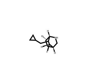 F[C@@H]1[C@@H](CC2CC2)[C@@H]2CC[C@H]1[CH]N2